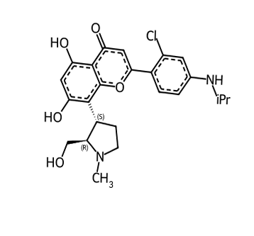 CC(C)Nc1ccc(-c2cc(=O)c3c(O)cc(O)c([C@@H]4CCN(C)[C@H]4CO)c3o2)c(Cl)c1